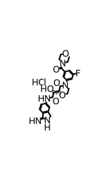 Cl.N=C1NCc2cc(NC(=O)[C@H](O)[C@H]3OCCN(c4cc(F)cc(C(=O)N5CCOCC5)c4)C3=O)ccc21